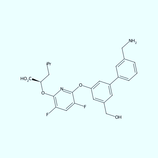 CC(C)C[C@@H](Oc1nc(Oc2cc(CO)cc(-c3cccc(CN)c3)c2)c(F)cc1F)C(=O)O